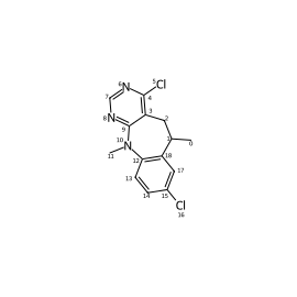 CC1Cc2c(Cl)ncnc2N(C)c2ccc(Cl)cc21